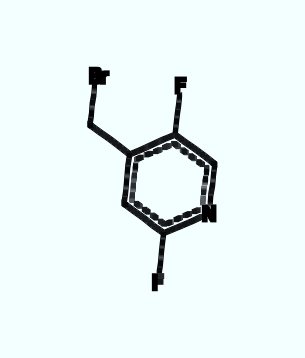 Fc1cc(CBr)c(F)cn1